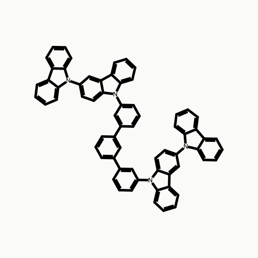 c1cc(-c2cccc(-n3c4ccccc4c4cc(-n5c6ccccc6c6ccccc65)ccc43)c2)cc(-c2cccc(-n3c4ccccc4c4cc(-n5c6ccccc6c6ccccc65)ccc43)c2)c1